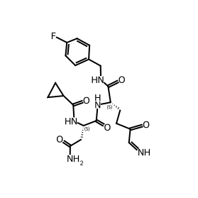 N=CC(=O)CC[C@H](NC(=O)[C@H](CC(N)=O)NC(=O)C1CC1)C(=O)NCc1ccc(F)cc1